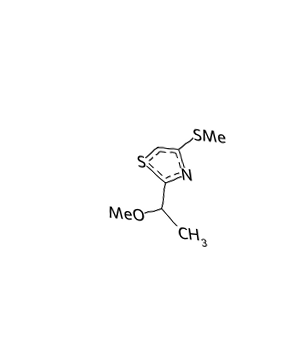 COC(C)c1nc(SC)cs1